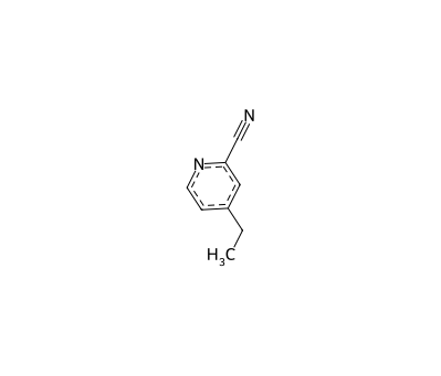 CCc1ccnc(C#N)c1